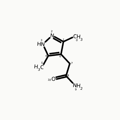 Cc1n[nH]c(C)c1CC(N)=O